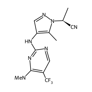 CNc1nc(Nc2cnn([C@@H](C)C#N)c2C)ncc1C(F)(F)F